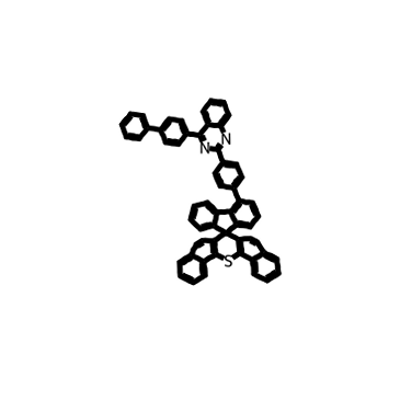 c1ccc(-c2ccc(-c3nc(-c4ccc(-c5cccc6c5-c5ccccc5C65c6ccc7ccccc7c6Sc6c5ccc5ccccc65)cc4)nc4ccccc34)cc2)cc1